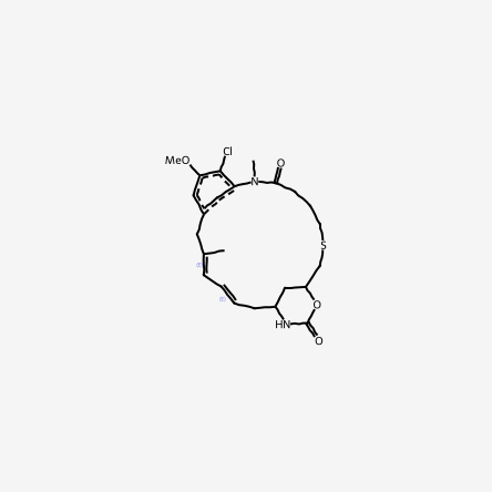 COc1cc2cc(c1Cl)N(C)C(=O)CCCSCC1CC(C/C=C/C=C(\C)C2)NC(=O)O1